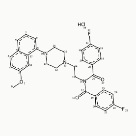 COc1ccc2cccc(N3CCN(CCN(C(=O)c4ccc(F)cc4)C(=O)c4ccc(F)cc4)CC3)c2c1.Cl